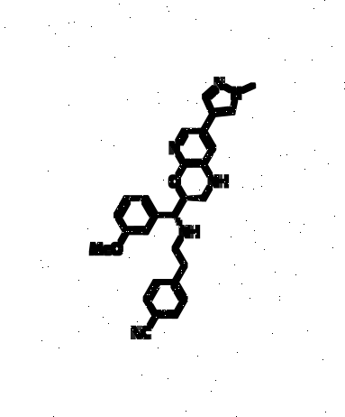 COc1cccc([C@@H](NCCc2ccc(C#N)cc2)[C@@H]2CNc3cc(-c4cnn(C)c4)cnc3O2)c1